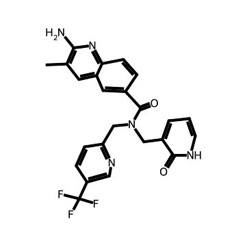 Cc1cc2cc(C(=O)N(Cc3ccc(C(F)(F)F)cn3)Cc3ccc[nH]c3=O)ccc2nc1N